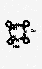 Br.[Cu].c1ccc2c(c1)-c1nc-2nc2[nH]c(nc3nc(nc4[nH]c(n1)c1ccccc41)-c1ccccc1-3)c1ccccc21